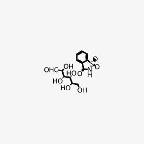 O=C1NS(=O)(=O)c2ccccc21.O=C[C@@H](O)[C@@H](O)[C@H](O)[C@H](O)CO